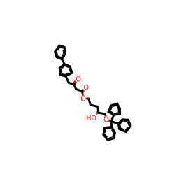 O=C(CC(=O)OCCC[C@@H](O)COC(c1ccccc1)(c1ccccc1)c1ccccc1)Cc1ccc(-c2ccccc2)cc1